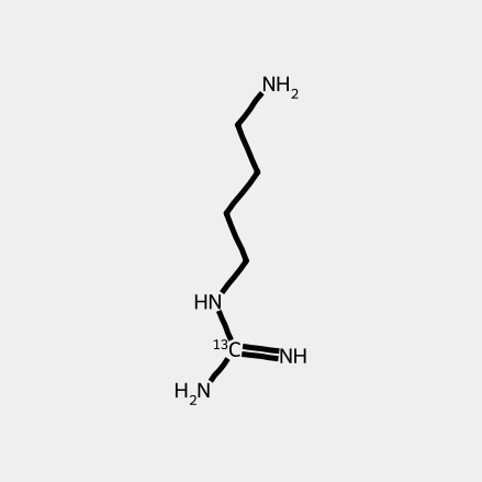 N=[13C](N)NCCCCN